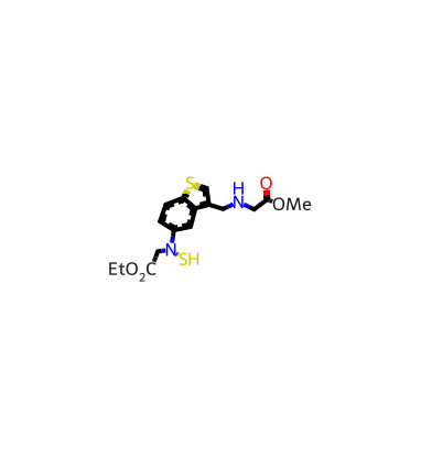 CCOC(=O)CN(S)c1ccc2scc(CNCC(=O)OC)c2c1